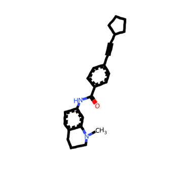 CN1CCCc2ccc(NC(=O)c3ccc(C#CC4CCCC4)cc3)cc21